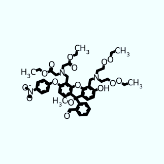 CCOOCCN(CCOOCC)Cc1c(O)ccc2c1Oc1c(ccc(Oc3ccc([N+](=O)[O-])cc3)c1CN(CC(=O)OCC)CC(=O)OCC)C2(OC)c1ccccc1C=O